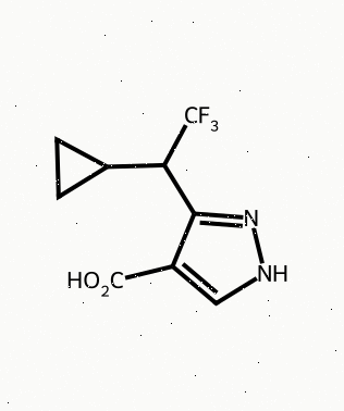 O=C(O)c1c[nH]nc1C(C1CC1)C(F)(F)F